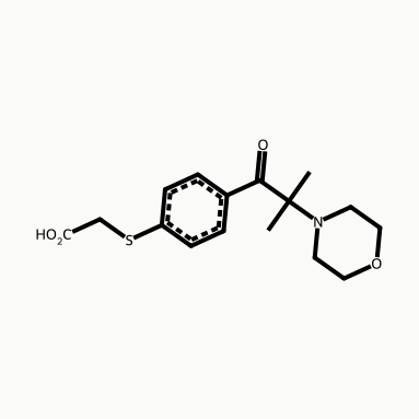 CC(C)(C(=O)c1ccc(SCC(=O)O)cc1)N1CCOCC1